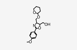 COc1ccc(C2=NC(COC3CCCCO3)C(CO)O2)cc1